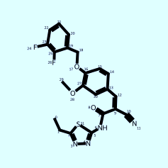 CCc1nnc(NC(=O)C(C#N)=Cc2ccc(OCc3cccc(F)c3F)c(OC)c2)s1